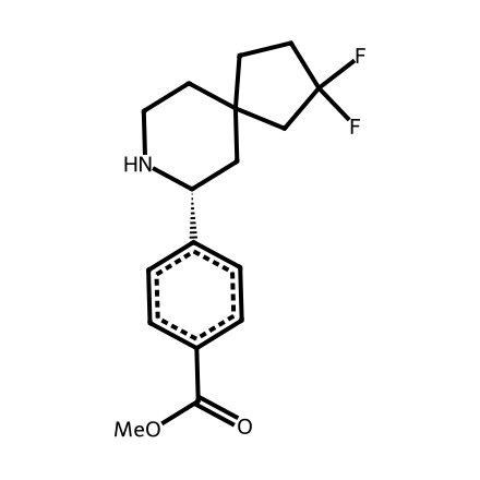 COC(=O)c1ccc([C@H]2CC3(CCN2)CCC(F)(F)C3)cc1